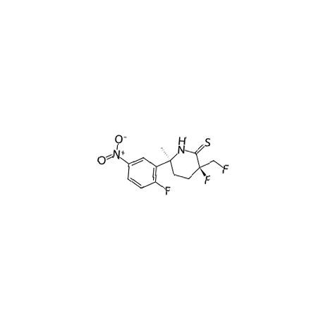 C[C@@]1(c2cc([N+](=O)[O-])ccc2F)CC[C@@](F)(CF)C(=S)N1